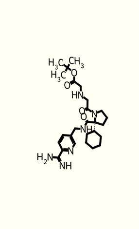 CC(C)(C)OC(=O)CNCC(=O)N1CCC[C@]1(C(=O)NCc1ccc(C(=N)N)nc1)C1CCCCC1